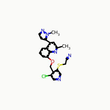 Cc1cc(-c2ccnn2C)c2cccc(OCc3c(Cl)cncc3SCC#N)c2n1